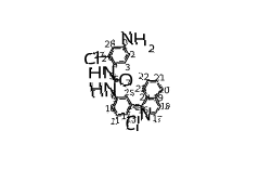 Nc1ccc(NC(=O)Nc2ccc(Cl)c(-c3nccc4ccccc34)c2)c(Cl)c1